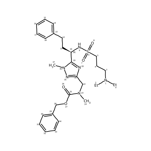 CCN(CC)CCCS(=O)(=O)N[C@H](CCc1ccccc1)c1nc(CN(C)C(=O)OCc2ccccc2)nn1C